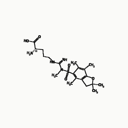 Cc1c(C)c(S(=O)(=O)N(C)C(=N)NCCC[C@H](N)C(=O)O)c(C)c2c1OC(C)(C)C2